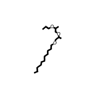 C[CH]COC(C)COC(C)COCCCCCCCCCCC